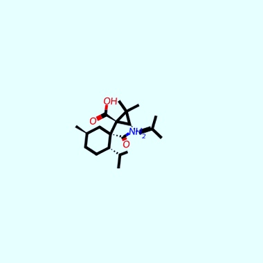 CC(C)=C[C@H]1C(C)(C)[C@@]1(C(=O)O)[C@]1(C(N)=O)C[C@H](C)CC[C@H]1C(C)C